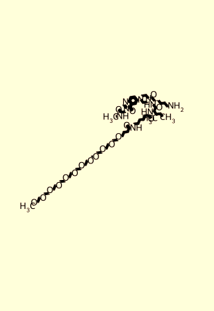 CC[C@H](C)[C@H](NC(=O)CCCCCNC(=O)CCCOCCOCCOCCOCOCCOCCOCCOCCOCCOCCOCCOC)C(=O)N[C@@H](CCCCN)C(=O)N1CCN(c2ccc3ncn(CC(=O)NC)c(=O)c3c2)CC1